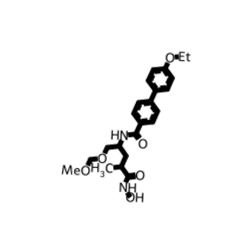 CCOc1ccc(-c2ccc(C(=O)NC(COCOC)CC(C)C(=O)NO)cc2)cc1